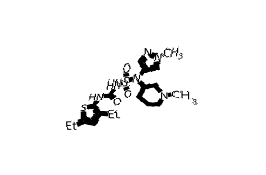 CCc1cc(CC)c(NC(=O)NS(=O)(=O)N(c2cnn(C)c2)C2CCCN(C)C2)s1